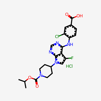 CC(C)OC(=O)N1CCC(n2cc(F)c3c(Nc4ccc(C(=O)O)cc4Cl)ncnc32)CC1.Cl